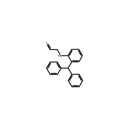 S=CCNc1ccccc1C(c1ccccc1)c1ccccc1